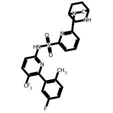 Cc1ccc(F)cc1-c1nc(NS(=O)(=O)c2cccc(N3CC4CCC3CN4)n2)ccc1C(F)(F)F